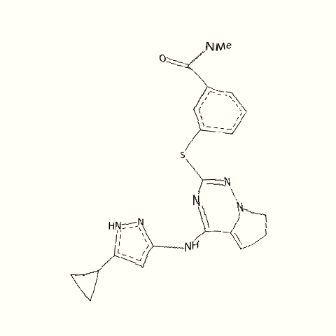 CNC(=O)c1cccc(SC2=NN3CCC=C3C(Nc3cc(C4CC4)[nH]n3)=N2)c1